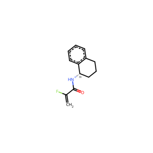 C=C(F)C(=O)N[C@H]1CCCc2ccccc21